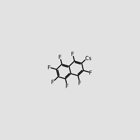 Fc1c(F)c(F)c2c(F)[c]([Cs])c(F)c(F)c2c1F